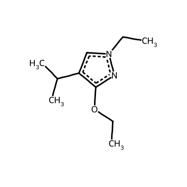 CCOc1nn(CC)cc1C(C)C